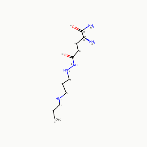 CCCCCCCCCCCCNCCCNNC(=O)CC[C@H](N)C(N)=O